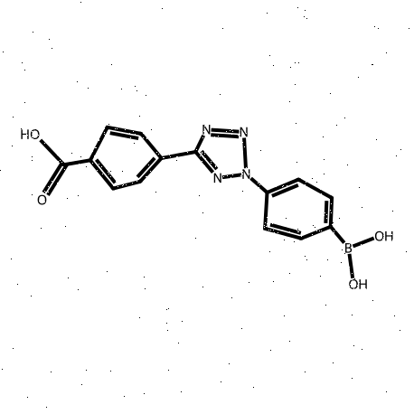 O=C(O)c1ccc(-c2nnn(-c3ccc(B(O)O)cc3)n2)cc1